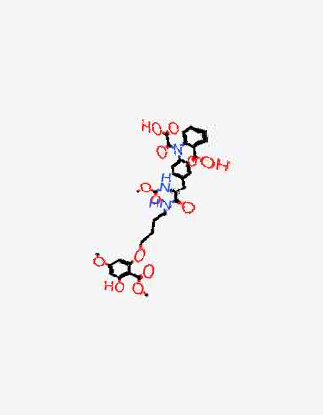 COC(=O)N[C@@H](Cc1ccc(N(C(=O)C(=O)O)c2ccccc2C(=O)O)cc1)C(=O)NCCCCOc1cc(OC)cc(O)c1C(=O)OC